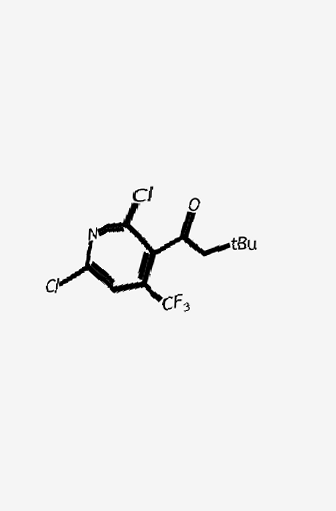 CC(C)(C)CC(=O)c1c(C(F)(F)F)cc(Cl)nc1Cl